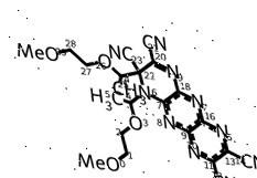 COCCOC(C)N1c2nc3nc(C#N)c(C#N)nc3nc2N=C(C#N)C1(C#N)C(C)OCCOC